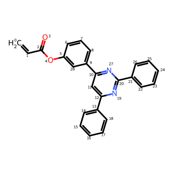 C=CC(=O)Oc1cccc(-c2cc(-c3ccccc3)nc(-c3ccccc3)n2)c1